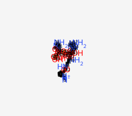 [N-]=[N+]=Nc1ccccc1COC(=O)NCCCC[C@@H](N)C(=O)OC1C(COP(=O)(O)O[C@H]2C[C@H](n3ccc(N)nc3=O)O[C@@H]2COP(=O)(O)O)OC(n2cnc3c(N)ncnc32)C1O